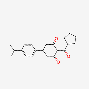 CC(C)c1ccc(C2CC(=O)C(C(=O)C3CCCC3)C(=O)C2)cc1